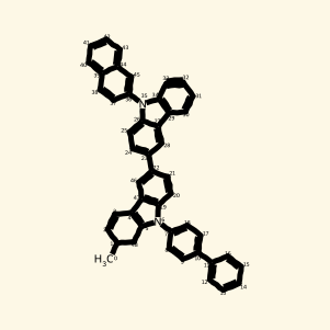 CC1C=Cc2c(n(-c3ccc(-c4ccccc4)cc3)c3ccc(-c4ccc5c(c4)c4ccc#cc4n5-c4ccc5ccccc5c4)cc23)C1